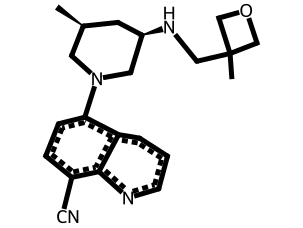 C[C@H]1C[C@@H](NCC2(C)COC2)CN(c2ccc(C#N)c3ncccc23)C1